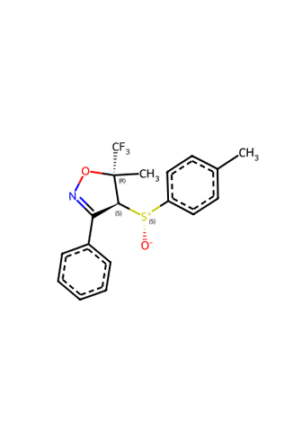 Cc1ccc([S@+]([O-])[C@H]2C(c3ccccc3)=NO[C@]2(C)C(F)(F)F)cc1